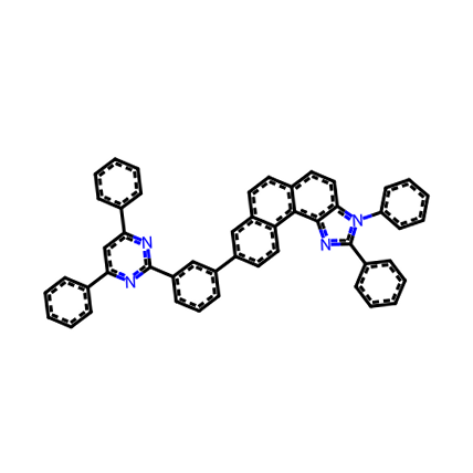 c1ccc(-c2cc(-c3ccccc3)nc(-c3cccc(-c4ccc5c(ccc6ccc7c(nc(-c8ccccc8)n7-c7ccccc7)c65)c4)c3)n2)cc1